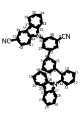 N#Cc1cc(-c2cccc(-c3ccccc3-n3c4ccccc4c4ccccc43)c2)cc(-n2c3ccccc3c3cc(C#N)ccc32)c1